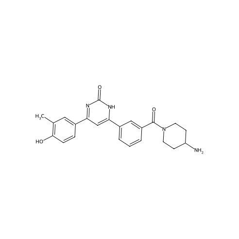 Cc1cc(-c2cc(-c3cccc(C(=O)N4CCC(N)CC4)c3)[nH]c(=O)n2)ccc1O